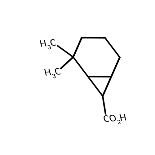 CC1(C)CCCC2C(C(=O)O)C21